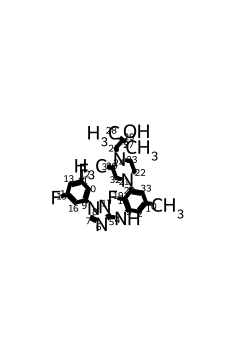 Cc1cc(Nc2ncn(-c3cc(F)cc(F)c3)n2)c(F)c(N2CCN(CC(C)(C)O)C(C)C2)c1